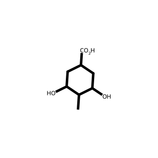 CC1C(O)CC(C(=O)O)CC1O